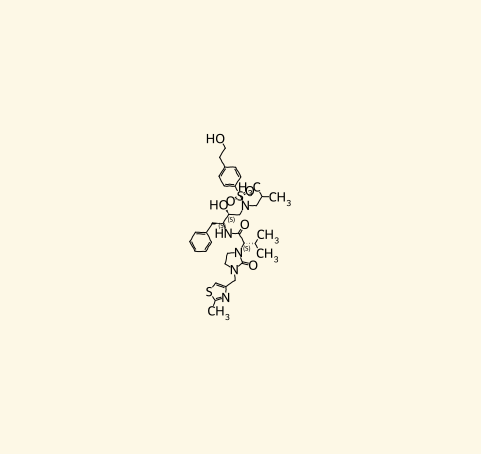 Cc1nc(CN2CCN([C@H](C(=O)N[C@@H](Cc3ccccc3)[C@@H](O)CN(CC(C)C)S(=O)(=O)c3ccc(CCO)cc3)C(C)C)C2=O)cs1